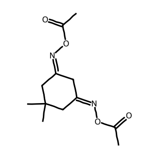 CC(=O)O/N=C1\C/C(=N/OC(C)=O)CC(C)(C)C1